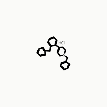 C1=C(c2ccccc2Cc2ccccc2)CCN(Cc2ccccc2)C1.Cl